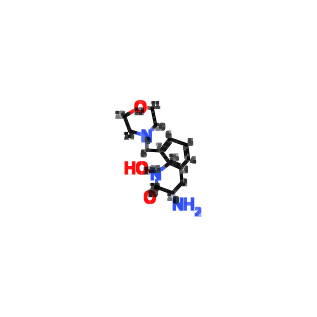 N[C@H]1Cc2cccc(CN3CCOCC3)c2N(O)C1=O